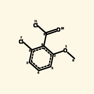 COc1cccc(Cl)c1C(=O)Cl